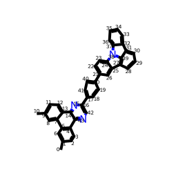 Cc1ccc2c(c1)c1cc(C)ccc1c1nc(-c3ccc(-c4ccc5c(c4)c4cccc6c7ccccc7n5c64)cc3)cnc21